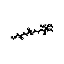 CC(C)(C)C(=O)OCCOC(=O)CCC(=O)CN